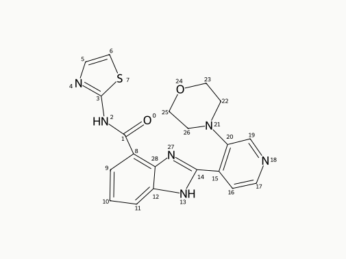 O=C(Nc1nccs1)c1cccc2[nH]c(-c3ccncc3N3CCOCC3)nc12